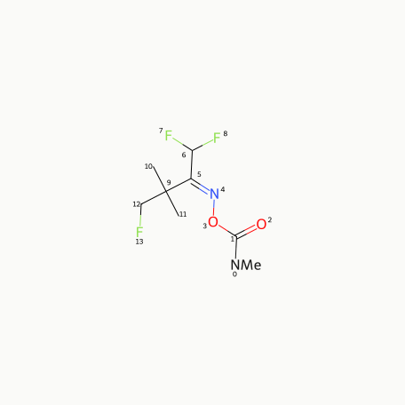 CNC(=O)ON=C(C(F)F)C(C)(C)CF